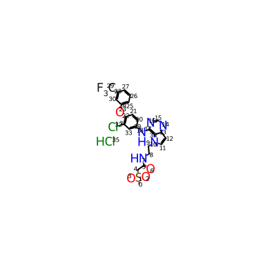 CS(=O)(=O)CC(=O)NCCn1ccc2ncnc(Nc3ccc(Oc4cccc(C(F)(F)F)c4)c(Cl)c3)c21.Cl